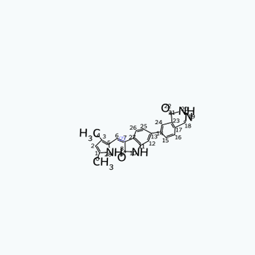 Cc1cc(C)c(/C=C2\C(=O)Nc3cc(-c4ccc5cn[nH]c(=O)c5c4)ccc32)[nH]1